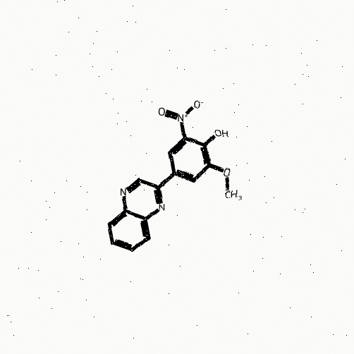 COc1cc(-c2cnc3ccccc3n2)cc([N+](=O)[O-])c1O